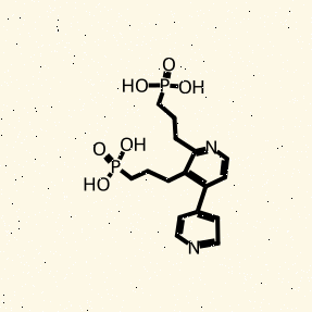 O=P(O)(O)CCCc1nccc(-c2ccncc2)c1CCCP(=O)(O)O